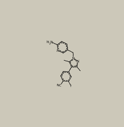 Cc1nn(Cc2ccc(N)nc2)c(C)c1-c1ccc(C#N)c(I)c1